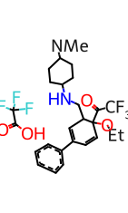 CCOC1(C(=O)C(F)(F)F)C=CC(c2ccccc2)=CC1CNC1CCC(NC)CC1.O=C(O)C(F)(F)F